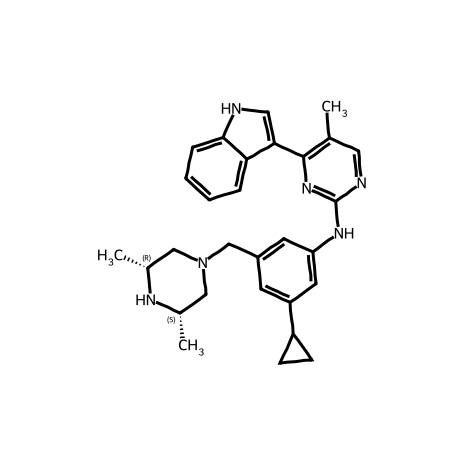 Cc1cnc(Nc2cc(CN3C[C@@H](C)N[C@@H](C)C3)cc(C3CC3)c2)nc1-c1c[nH]c2ccccc12